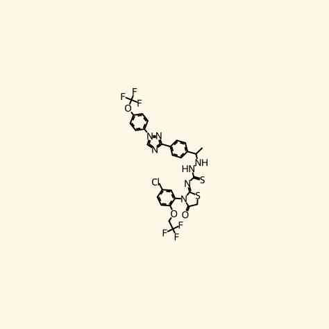 CC(NNC(=S)/N=C1\SCC(=O)N1c1cc(Cl)ccc1OCC(F)(F)F)c1ccc(-c2ncn(-c3ccc(OC(F)(F)F)cc3)n2)cc1